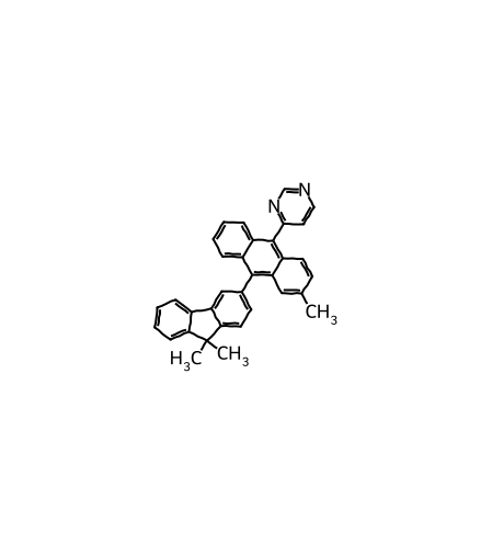 Cc1ccc2c(-c3ccncn3)c3ccccc3c(-c3ccc4c(c3)-c3ccccc3C4(C)C)c2c1